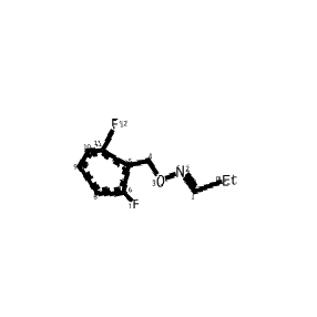 CCC=NOCc1c(F)cccc1F